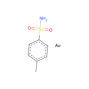 Cc1ccc(S(N)(=O)=O)cc1.[Au]